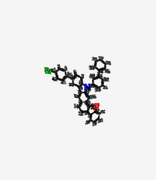 Brc1ccc(-c2ccc3c(c2)c2cc4ccc5c6ccccc6oc5c4cc2n3-c2cccc(-c3ccccc3)c2)cc1